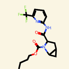 CCCCOC(=O)N1C(C(=O)Nc2cccc(C(F)(F)F)n2)CC2CC21